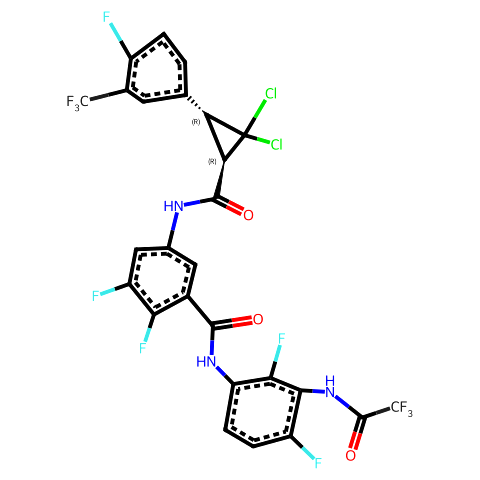 O=C(Nc1ccc(F)c(NC(=O)C(F)(F)F)c1F)c1cc(NC(=O)[C@H]2[C@H](c3ccc(F)c(C(F)(F)F)c3)C2(Cl)Cl)cc(F)c1F